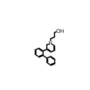 OCCCN1C=CC=C(c2ccccc2-c2ccccc2)C1